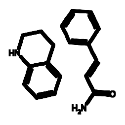 NC(=O)C=Cc1ccccc1.c1ccc2c(c1)CCCN2